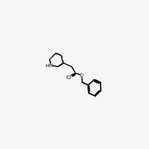 O=C(CC1CCCNC1)OCc1ccccc1